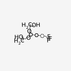 C=C(CO)CCOc1cc(OCCC(=C)CO)cc(-c2ccc(C3CCC(CCC(F)(F)F)CC3)cc2)c1